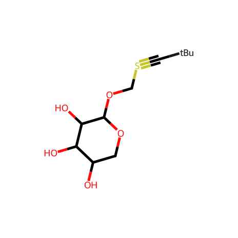 CC(C)(C)C#SCOC1OCC(O)C(O)C1O